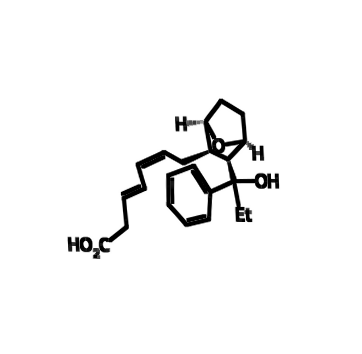 CCC(O)(c1ccccc1)[C@H]1[C@@H](C/C=C\C=CCC(=O)O)[C@H]2CC[C@@H]1O2